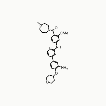 COc1cc(Nc2nccc(-c3ccc(OC4CCOCC4)c(N)c3)n2)ccc1[S+]([O-])N1CCCN(C)CC1